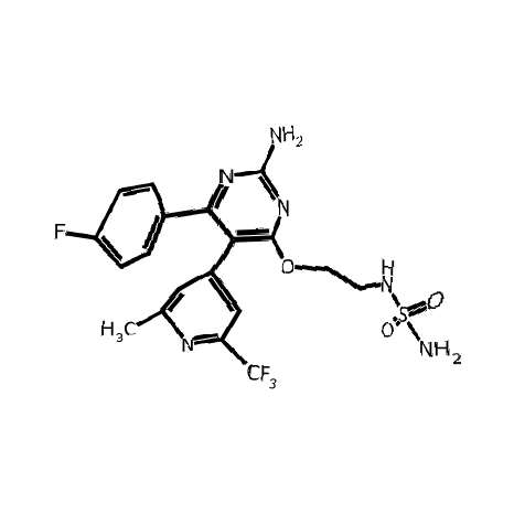 Cc1cc(-c2c(OCCNS(N)(=O)=O)nc(N)nc2-c2ccc(F)cc2)cc(C(F)(F)F)n1